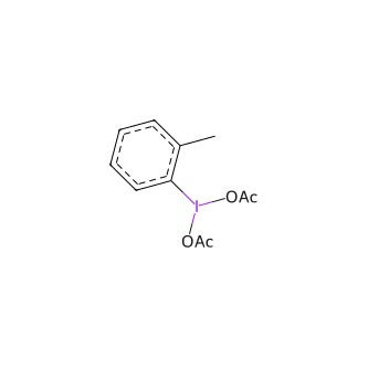 CC(=O)OI(OC(C)=O)c1ccccc1C